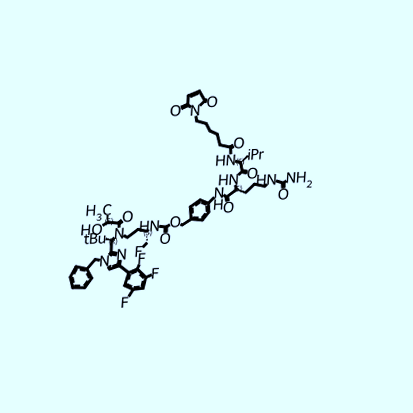 CC(C)[C@H](NC(=O)CCCCCN1C(=O)C=CC1=O)C(=O)N[C@@H](CCCNC(N)=O)C(=O)Nc1ccc(COC(=O)N[C@H](CF)CCN(C(=O)[C@H](C)O)[C@@H](c2nc(-c3cc(F)cc(F)c3F)cn2Cc2ccccc2)C(C)(C)C)cc1